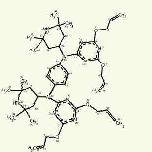 C=CCOc1nc(OCC=C)nc(N(c2ccc(N(c3nc(OCC=C)nc(OCC=C)n3)C3CC(C)(C)NC(C)(C)C3)cc2)C2CC(C)(C)NC(C)(C)C2)n1